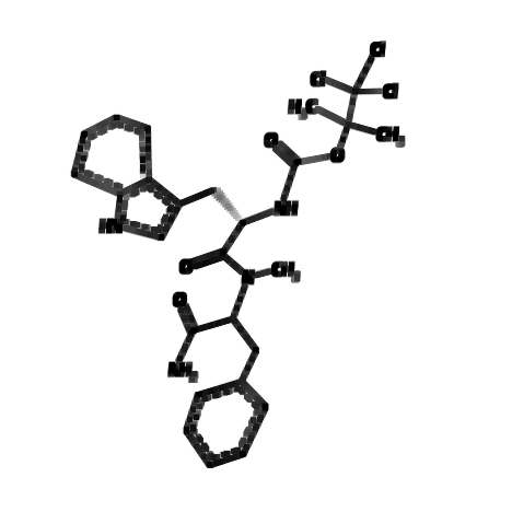 CN(C(=O)[C@H](Cc1c[nH]c2ccccc12)NC(=O)OC(C)(C)C(Cl)(Cl)Cl)C(Cc1ccccc1)C(N)=O